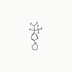 FC(F)C(F)(c1ccc(N2CCCC2)cc1)C(F)(F)F